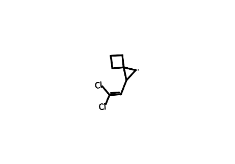 ClC(Cl)=CC1[CH]C12CCC2